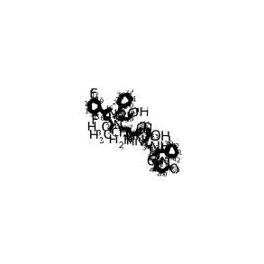 CC(C)(C)[C@H](c1cc(-c2cc(F)ccc2F)cn1Cc1ccccc1)N(CC[C@H](N)C(=O)N[C@H](CNC(=O)c1ccccc1N1C(=O)C=CC1=O)C(=O)O)C(=O)CO